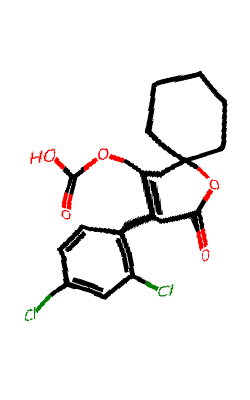 O=C(O)OC1=C(c2ccc(Cl)cc2Cl)C(=O)OC12CCCCC2